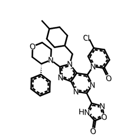 CC1CCC(Cn2c(N3CCOC[C@H]3c3ccccc3)nc3nc(-c4noc(=O)[nH]4)nc(-n4cc(Cl)ccc4=O)c32)CC1